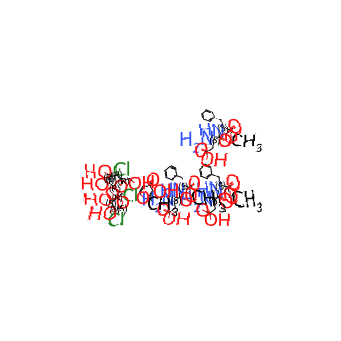 COC(=O)[C@H](Cc1ccccc1)NC(=O)[C@@H](N)CC(=O)O.COC(=O)[C@H](Cc1ccccc1)NC(=O)[C@@H](N)CC(=O)O.COC(=O)[C@H](Cc1ccccc1)NC(=O)[C@@H](N)CC(=O)O.Cc1occc(=O)c1O.OC[C@H]1O[C@H](O[C@]2(CCl)O[C@H](CCl)[C@@H](O)[C@@H]2O)[C@H](O)[C@@H](O)[C@H]1Cl